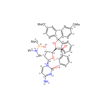 COc1ccc(C(OC(C(=O)c2ccccc2)[C@H]2O[C@@H](n3ccc(N)nc3=O)C[C@@H]2OP(OC)N(C(C)C)C(C)C)(c2ccccc2)c2ccc(OC)cc2)cc1